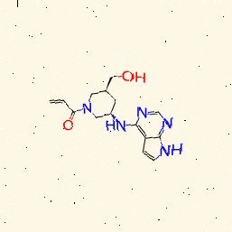 C=CC(=O)N1C[C@@H](CO)C[C@@H](Nc2ncnc3[nH]ccc23)C1